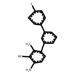 Cc1c(-c2cccc(-c3ccc(F)cc3)c2)ccc(N)c1C#N